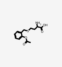 CC(=O)Oc1ccccc1CSCCC(N)C(=O)O